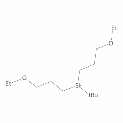 CCOCCC[Si](CCCOCC)C(C)(C)C